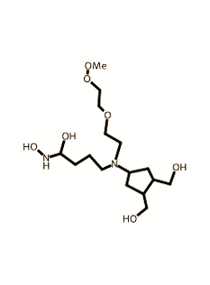 COOCCOCCN(CCCC(O)NO)C1CC(CO)C(CO)C1